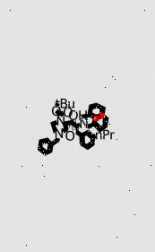 CCCc1cccc(C[C@@H]([C@H](O)[C@H]2C(=O)N(Cc3ccccc3)CCN2C(=O)OC(C)(C)C)N(Cc2ccccc2)Cc2ccccc2)c1